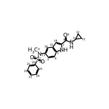 CN(c1ccc2[nH]c(C(=O)NC3CC3)cc2c1)S(=O)(=O)c1ccccc1